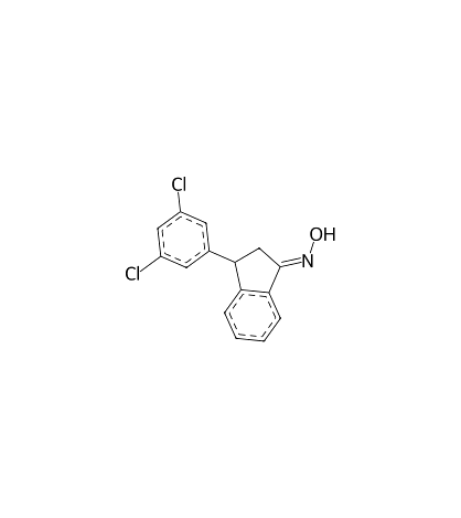 ON=C1CC(c2cc(Cl)cc(Cl)c2)c2ccccc21